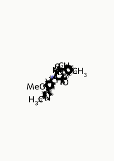 COc1cc(/C=C2\CC3(COC3)CN3C2=NOC3(C)c2ccc(C)cc2)ccc1-n1cnc(C)c1